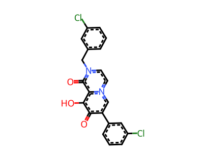 O=c1c(-c2cccc(Cl)c2)cn2ccn(Cc3cccc(Cl)c3)c(=O)c2c1O